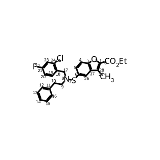 CCOC(=O)c1oc2ccc(SN(CCc3ccccc3)Cc3ccc(F)cc3Cl)cc2c1C